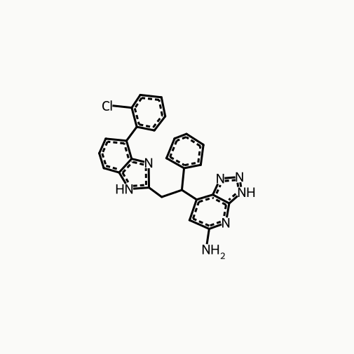 Nc1cc(C(Cc2nc3c(-c4ccccc4Cl)cccc3[nH]2)c2ccccc2)c2nn[nH]c2n1